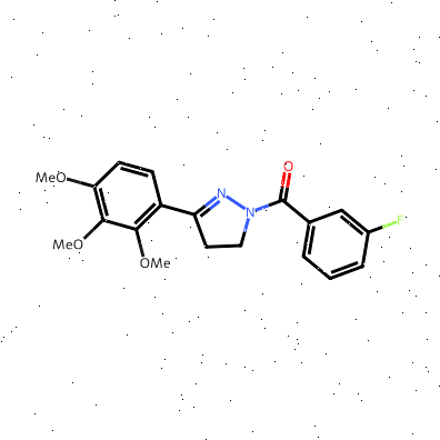 COc1ccc(C2=NN(C(=O)c3cccc(F)c3)CC2)c(OC)c1OC